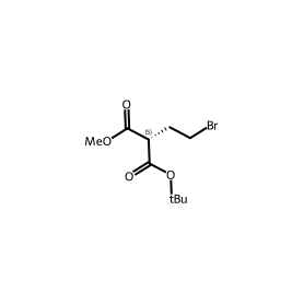 COC(=O)[C@H](CCBr)C(=O)OC(C)(C)C